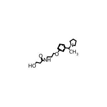 CC(c1cccc(OCCCNC(=O)CCO)c1)N1CCCC1